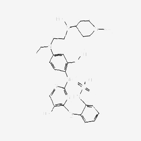 BN1CCC(N(C)CCN(CC)c2ccc(Nc3ncc(C)c(Nc4ccccc4NS(C)(=O)=O)n3)c(OC)c2)CC1